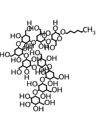 CCCCCCO[C@@H]1OC(CO)[C@@H](O[C@@H]2OC(CO)CC(O[C@@H]3CC(CO)[C@H](O)C(O[C@@H]4CC(CO)[C@H](O)C(O[C@@H]5CC(CO)[C@H](O)C(O[C@@H]6CC(CO)[C@H](O)C(O[C@@H]7CC(CO)[C@H](O)C(O[C@@H]8CC(CO)[C@H](O)C(O[C@@H]9CC(CO)[C@H](O)[C@H](O)C9O)[C@@H]8O)[C@@H]7O)[C@@H]6O)[C@@H]5O)[C@@H]4O)[C@@H]3O)[C@@H]2O)[C@H](O)C1O